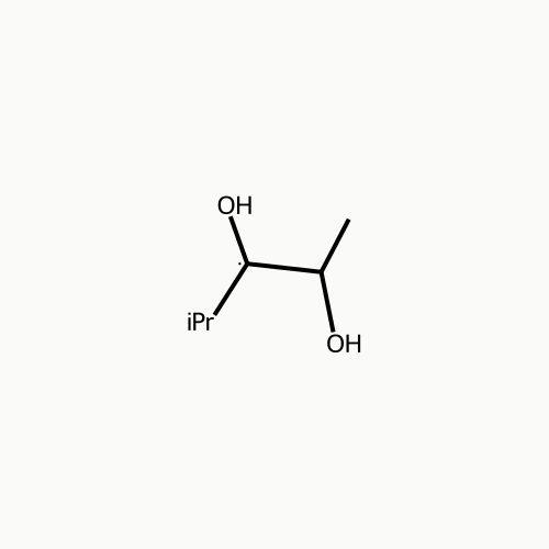 CC(C)[C](O)C(C)O